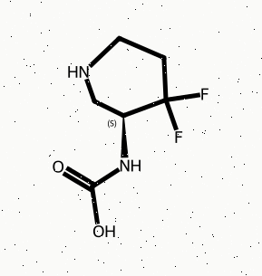 O=C(O)N[C@H]1CNCCC1(F)F